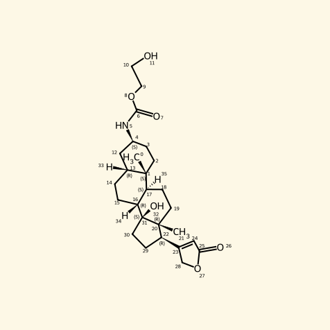 C[C@]12CC[C@H](NC(=O)OCCO)C[C@H]1CC[C@@H]1[C@@H]2CC[C@]2(C)[C@@H](C3=CC(=O)OC3)CC[C@]12O